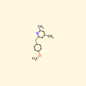 COc1ccc(Cc2cc(C)cc(C)n2)cc1